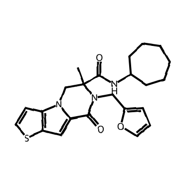 CC1(C(=O)NC2CCCCCC2)Cn2c(cc3sccc32)C(=O)N1Cc1ccco1